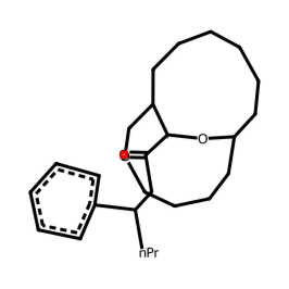 [CH2]CCC(CC(=O)[C]1OC2CCCCCCC1COCCCC2)c1ccccc1